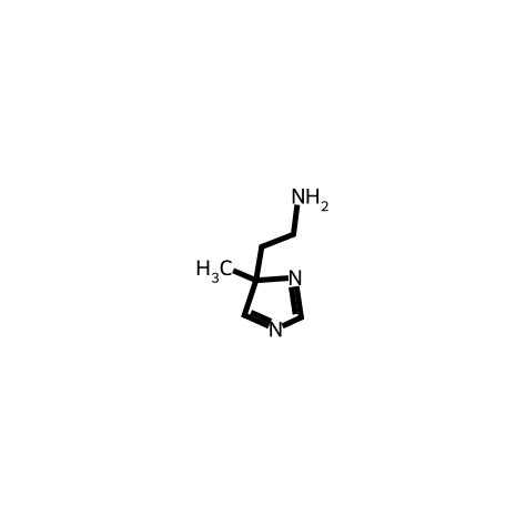 CC1(CCN)C=NC=N1